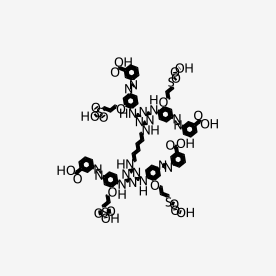 O=C(O)c1cccc(N=Nc2ccc(Nc3nc(NCCCCCCNc4nc(Nc5ccc(N=Nc6cccc(C(=O)O)c6)cc5OCCCSOOO)nc(Nc5ccc(N=Nc6cccc(C(=O)O)c6)cc5OCCCS(=O)(=O)O)n4)nc(Nc4ccc(N=Nc5cccc(C(=O)O)c5)cc4OCCCS(=O)(=O)O)n3)c(OCCCSOOO)c2)c1